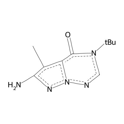 Cc1c(N)nn2ncn(C(C)(C)C)c(=O)c12